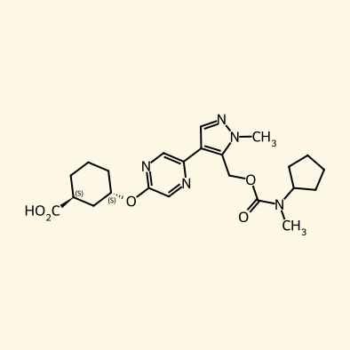 CN(C(=O)OCc1c(-c2cnc(O[C@H]3CCC[C@H](C(=O)O)C3)cn2)cnn1C)C1CCCC1